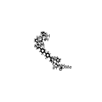 COC(=O)N[C@H](C(=O)N1CCC[C@H]1c1ncc(-c2ccc(-c3ccc(-c4cnc([C@@H]5CCCN5C(=O)[C@H](NC5=NCCN5)C(C)C)[nH]4)cc3)cc2)[nH]1)C(C)C